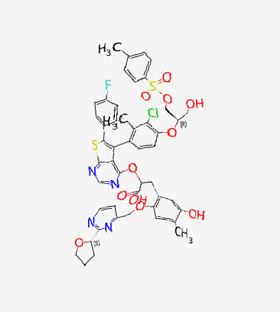 Cc1ccc(S(=O)(=O)OC[C@@H](CO)Oc2ccc(-c3c(-c4ccc(F)cc4)sc4ncnc(OC(Cc5cc(O)c(C)cc5OCc5ccnc([C@@H]6CCCO6)n5)C(=O)O)c34)c(C)c2Cl)cc1